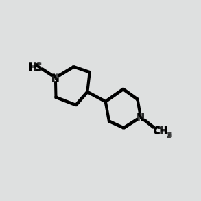 CN1CCC(C2CCN(S)CC2)CC1